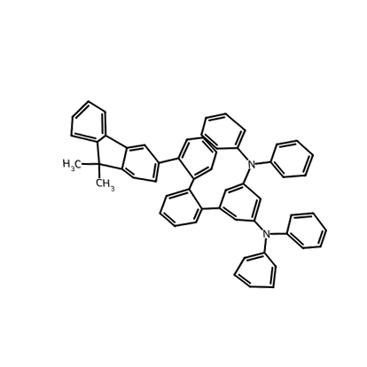 CC1(C)c2ccccc2-c2cc(-c3ccccc3-c3ccccc3-c3cc(N(c4ccccc4)c4ccccc4)cc(N(c4ccccc4)c4ccccc4)c3)ccc21